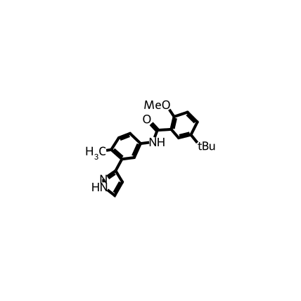 COc1ccc(C(C)(C)C)cc1C(=O)Nc1ccc(C)c(-c2cc[nH]n2)c1